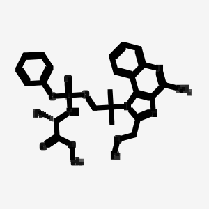 CCOCc1nc2c(N)nc3ccccc3c2n1C(C)(C)COP(=O)(N[C@H](C(=O)OC(C)(C)C)C(C)C)Oc1ccccc1